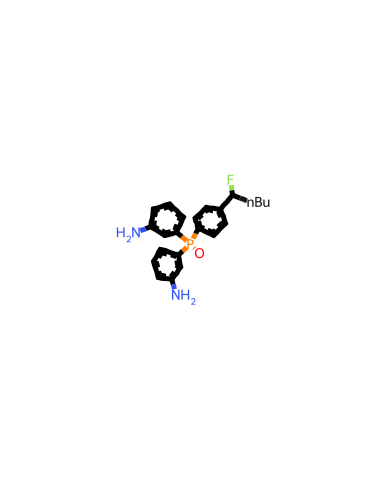 CCCCC(F)c1ccc(P(=O)(c2cccc(N)c2)c2cccc(N)c2)cc1